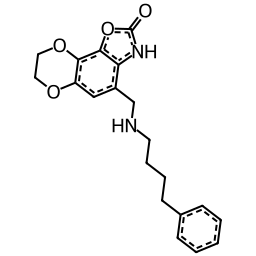 O=c1[nH]c2c(CNCCCCc3ccccc3)cc3c(c2o1)OCCO3